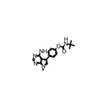 Cn1cc(-c2ccc(OC(=O)NC(C)(C)C)cc2)c2c(N)ncnc21